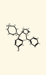 Fc1ccc(C(c2nncn2Cc2ccccc2)N2CCCNCC2)cc1